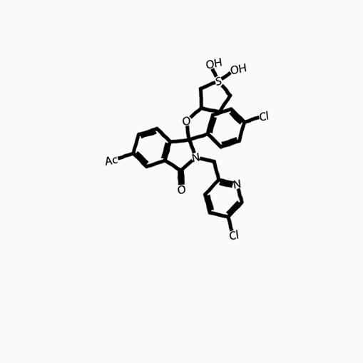 CC(=O)c1ccc2c(c1)C(=O)N(Cc1ccc(Cl)cn1)C2(OC1CCS(O)(O)C1)c1ccc(Cl)cc1